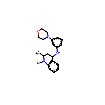 CC(=O)N1c2ccccc2C(Nc2cccc(N3CCOCC3)c2)CC1C